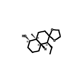 CC[C@H]1[C@@H]2CCC[C@H](O)[C@@]2(C)CCC12OCCO2